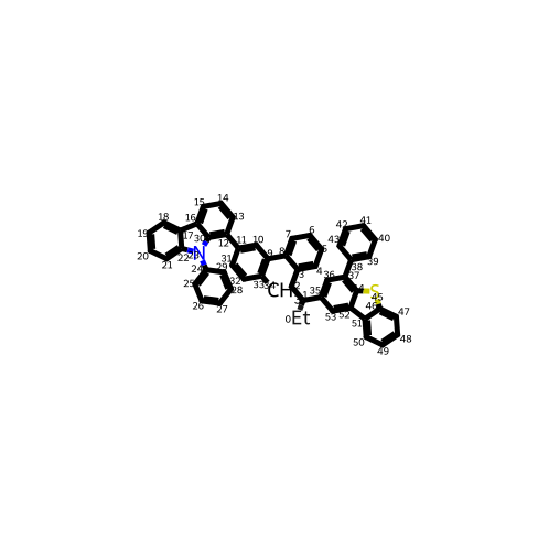 CCC(Cc1ccccc1-c1cc(-c2cccc3c4ccccc4n(-c4ccccc4)c23)ccc1C)c1cc(-c2ccccc2)c2sc3ccccc3c2c1